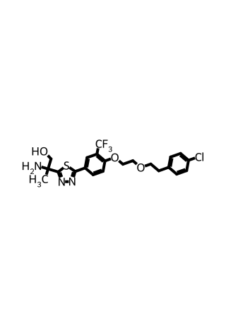 CC(N)(CO)c1nnc(-c2ccc(OCCOCCc3ccc(Cl)cc3)c(C(F)(F)F)c2)s1